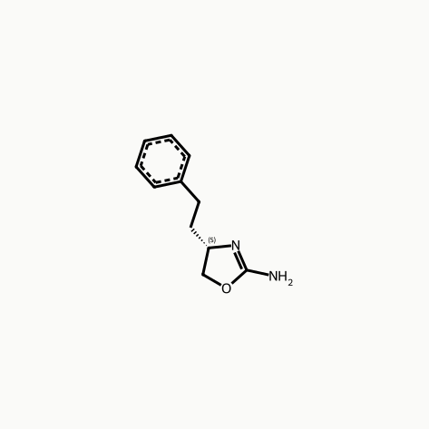 NC1=N[C@@H](CCc2ccccc2)CO1